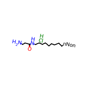 CCCCCCCCCCCCCCCCCCNC(=O)CCN.Cl